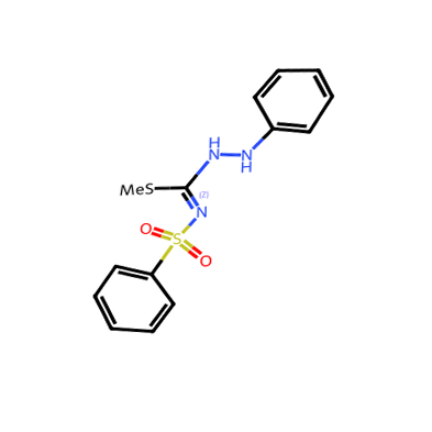 CS/C(=N\S(=O)(=O)c1ccccc1)NNc1ccccc1